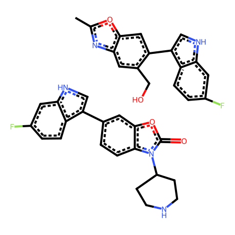 Cc1nc2cc(CO)c(-c3c[nH]c4cc(F)ccc34)cc2o1.O=c1oc2cc(-c3c[nH]c4cc(F)ccc34)ccc2n1C1CCNCC1